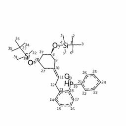 CC(C)(C)[Si](C)(C)O[C@H]1CC(=CCc2ccccc2[PH](=O)c2ccccc2)C[C@H](O[Si](C)(C)C(C)(C)C)C1